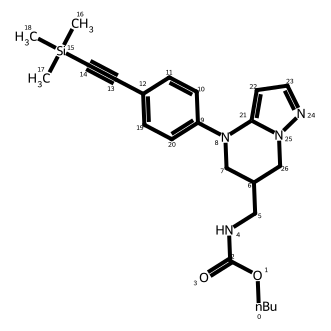 CCCCOC(=O)NCC1CN(c2ccc(C#C[Si](C)(C)C)cc2)c2ccnn2C1